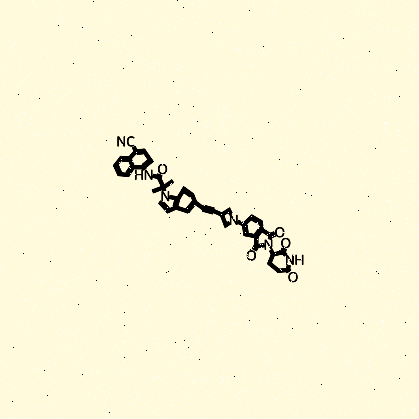 CC(C)(C(=O)Nc1ccc(C#N)c2ccccc12)n1ccc2cc(C#CC3CN(c4ccc5c(c4)C(=O)N(C4CCC(=O)NC4=O)C5=O)C3)ccc21